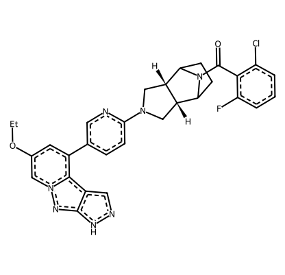 CCOc1cc(-c2ccc(N3C[C@@H]4C5CCC([C@@H]4C3)N5C(=O)c3c(F)cccc3Cl)nc2)c2c3cn[nH]c3nn2c1